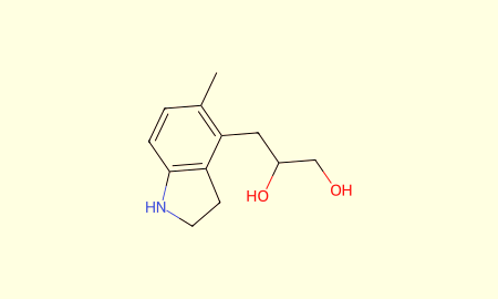 Cc1ccc2c(c1CC(O)CO)CCN2